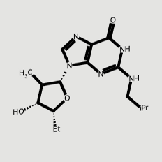 CC[C@H]1O[C@@H](n2cnc3c(=O)[nH]c(NCC(C)C)nc32)C(C)[C@H]1O